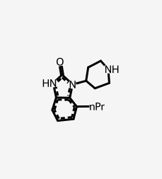 CCCc1cccc2[nH]c(=O)n(C3CCNCC3)c12